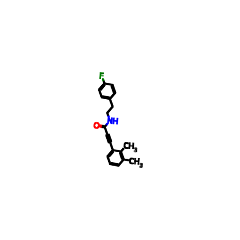 Cc1cccc(C#CC(=O)NCCc2ccc(F)cc2)c1C